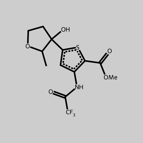 COC(=O)c1sc(C2(O)CCOC2C)cc1NC(=O)C(F)(F)F